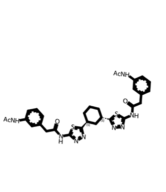 CC(=O)Nc1cccc(CC(=O)Nc2nnc([C@H]3CCC[C@H](c4nnc(NC(=O)Cc5cccc(NC(C)=O)c5)s4)C3)s2)c1